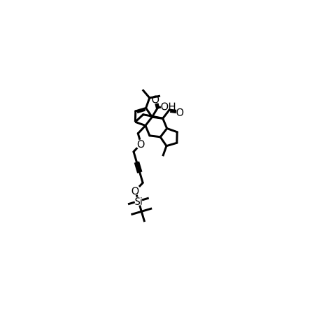 CC(C)C1=CC2CC3(C=O)C4CCC(C)C4CC2(COCC#CCO[Si](C)(C)C(C)(C)C)C13C(=O)O